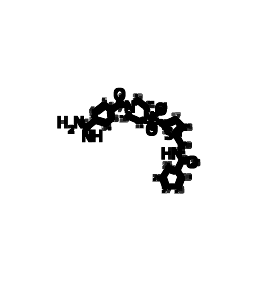 N=C(N)c1ccc(C(=O)N2CCN(S(=O)(=O)c3ccc(CNC(=O)c4ccccc4)s3)CC2)cc1